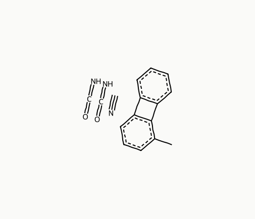 C#N.Cc1cccc2c1-c1ccccc1-2.N=C=O.N=C=O